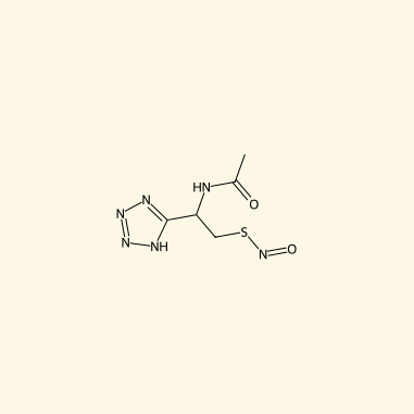 CC(=O)NC(CSN=O)c1nnn[nH]1